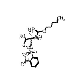 C=CCCCOC(=O)N[C@@](C)(CNS(=O)(=O)c1ccccc1[N+](=O)[O-])C(=O)O